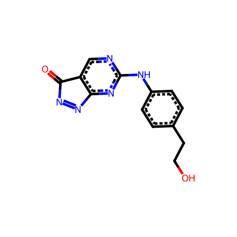 O=C1N=Nc2nc(Nc3ccc(CCO)cc3)ncc21